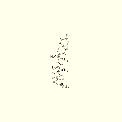 CC(C)(C)N1CCC2(CC1)CCN(C(C)(C)CCC(C)(C)N1CCC3(CCN(C(C)(C)C)C3)C1)CC2